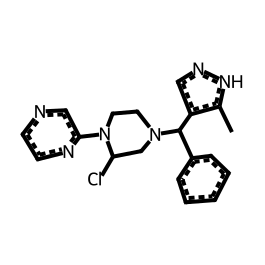 Cc1[nH]ncc1C(c1ccccc1)N1CCN(c2cnccn2)C(Cl)C1